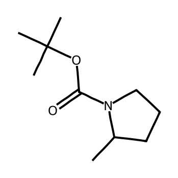 CC1CCCN1C(=O)OC(C)(C)C